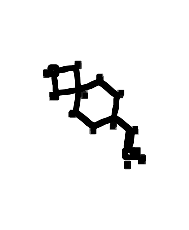 C=CC1CCC2(CC1)COC2